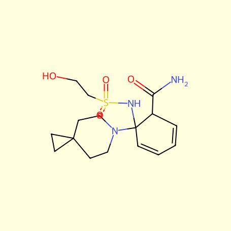 NC(=O)C1C=CC=CC1(NS(=O)(=O)CCO)N1CCC2(CC1)CC2